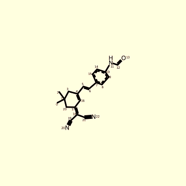 CC1(C)CC(/C=C/c2ccc(NC=O)cc2)=CC(=C(C#N)C#N)C1